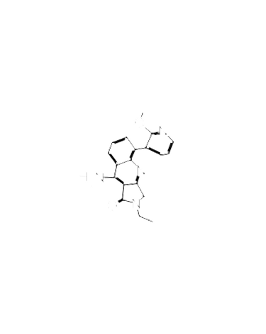 CCN1Cc2nc3c(-c4cccnc4OC)cccc3c(N)c2C1=O